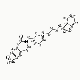 O=C1Cc2cc3c(cc2CCN1CC1CCCN(CCCCCc2csc4ccccc24)C1)OCO3